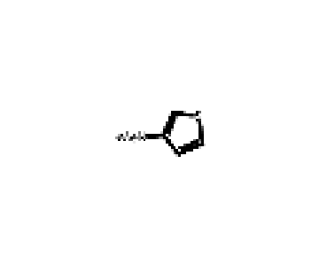 C[N]c1ccsc1